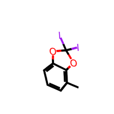 Cc1cccc2c1OC(I)(I)O2